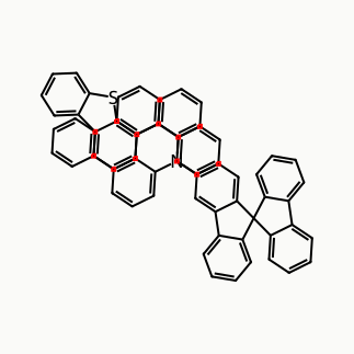 c1ccc(-c2ccccc2-c2c(-c3ccccc3)cccc2N(c2ccc3c(c2)-c2ccccc2C32c3ccccc3-c3ccccc32)c2ccccc2-c2cccc3c2sc2ccccc23)cc1